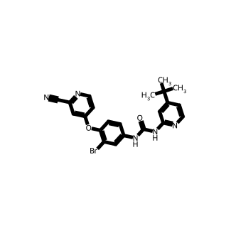 CC(C)(C)c1ccnc(NC(=O)Nc2ccc(Oc3ccnc(C#N)c3)c(Br)c2)c1